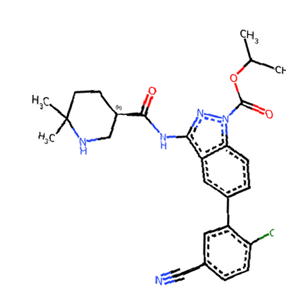 CC(C)OC(=O)n1nc(NC(=O)[C@@H]2CCC(C)(C)NC2)c2cc(-c3cc(C#N)ccc3Cl)ccc21.Cl